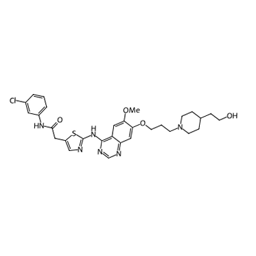 COc1cc2c(Nc3ncc(CC(=O)Nc4cccc(Cl)c4)s3)ncnc2cc1OCCCN1CCC(CCO)CC1